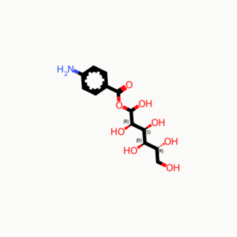 Nc1ccc(C(=O)OC(O)[C@H](O)[C@@H](O)[C@H](O)[C@H](O)CO)cc1